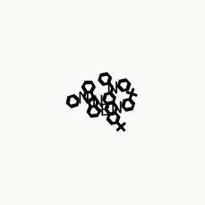 CC(C)(C)c1cccc(N2c3cc(C(C)(C)C)ccc3B3c4c2cc(N(c2ccccc2)c2ccccc2)cc4-n2c4c3cccc4c3c2c2ccccc2n3-c2ccccc2)c1